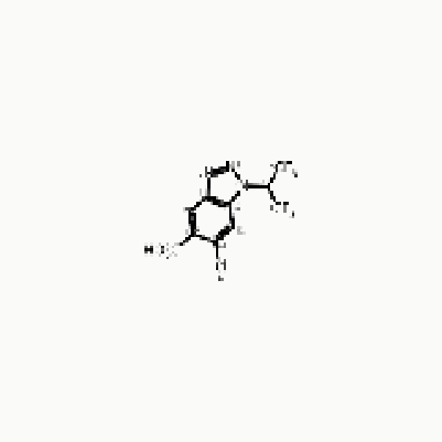 O=C(O)c1cc2nnn(C(C(F)(F)F)C(F)(F)F)c2cc1Cl